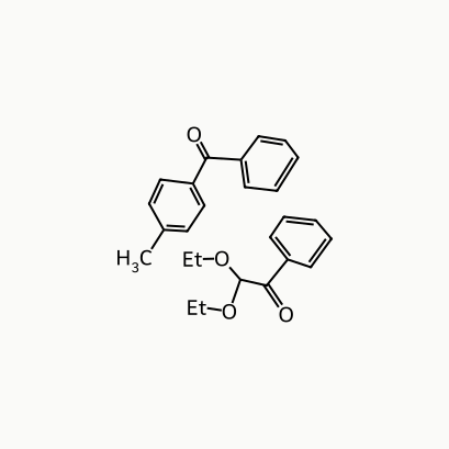 CCOC(OCC)C(=O)c1ccccc1.Cc1ccc(C(=O)c2ccccc2)cc1